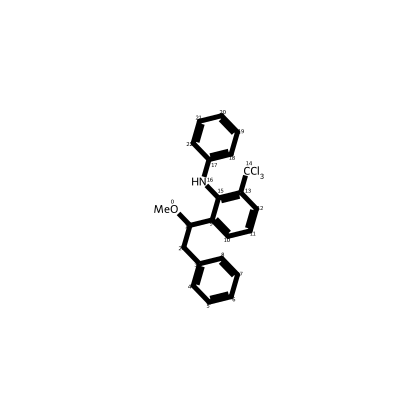 CO[C](Cc1ccccc1)c1cccc(C(Cl)(Cl)Cl)c1Nc1ccccc1